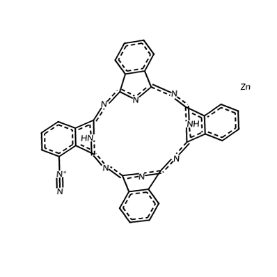 N#[N+]c1cccc2c3nc4nc(nc5[nH]c(nc6nc(nc([nH]3)c12)-c1ccccc1-6)c1ccccc51)-c1ccccc1-4.[Zn]